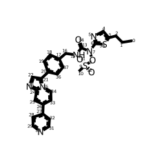 CCCc1cnc(N(OS(C)(=O)=O)C(=O)NCc2ccc(-c3cnc4cc(-c5ccncc5)ccn34)cc2)s1